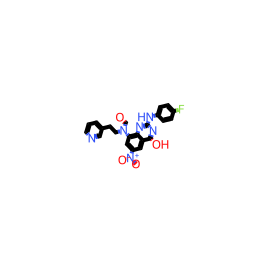 O=CN(CCc1cccnc1)c1cc([N+](=O)[O-])cc2c(O)nc(Nc3ccc(F)cc3)nc12